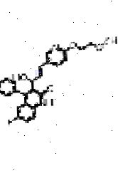 COCCOc1ccc(/C=C/C(O)c2c(-c3ccccc3)c3cc(F)ccc3[nH]c2=O)cn1